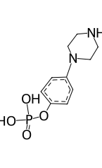 O=P(O)(O)Oc1ccc(N2CCNCC2)cc1